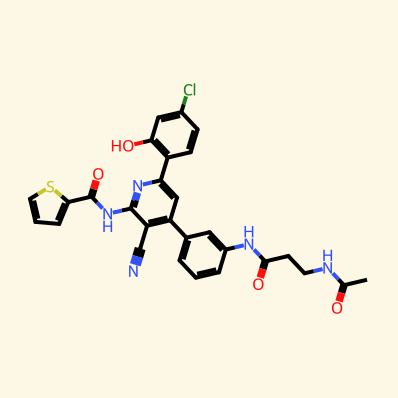 CC(=O)NCCC(=O)Nc1cccc(-c2cc(-c3ccc(Cl)cc3O)nc(NC(=O)c3cccs3)c2C#N)c1